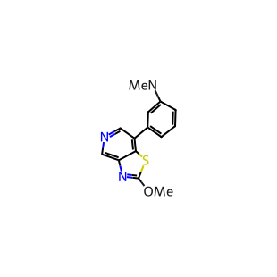 CNc1cccc(-c2cncc3nc(OC)sc23)c1